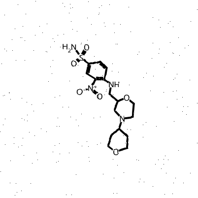 NS(=O)(=O)c1ccc(NCC2CN(C3CCOCC3)CCO2)c([N+](=O)[O-])c1